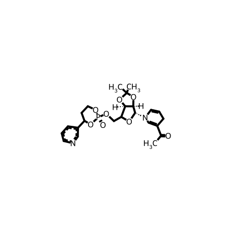 CC(=O)C1=CN([C@@H]2OC(COP3(=O)OCCC(c4cccnc4)O3)[C@H]3OC(C)(C)O[C@H]32)C=CC1